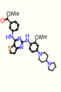 COC(=O)c1cccc(Nc2nc(Nc3ccc(N4CCC(N5CCCC5)CC4)cc3OC)nc3ccsc23)c1